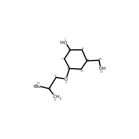 CC(COC1CC(O)CC(CO)C1)C(C)(C)C